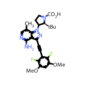 COc1cc(OC)c(F)c(C#Cc2nn(C3CCN(C(=O)O)[C@H]3C(C)(C)C)c3c(C)cnc(N)c23)c1F